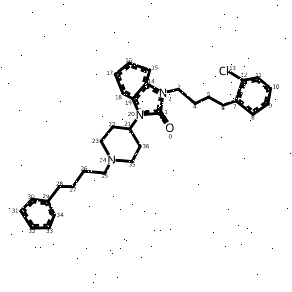 O=c1n(CCCCc2ccccc2Cl)c2ccccc2n1C1CCN(CCCCc2ccccc2)CC1